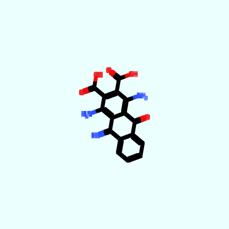 N=C1c2ccccc2C(=O)c2c(N)c(C(=O)O)c(C(=O)O)c(N)c21